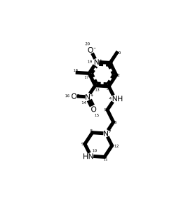 Cc1cc(NCCN2CCNCC2)c([N+](=O)[O-])c(C)[n+]1[O-]